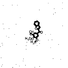 COc1cc(C(=O)c2cc3ccccc3o2)cc(OC)c1OC